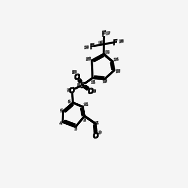 O=[C]c1cccc(OS(=O)(=O)c2cccc(C(F)(F)F)c2)c1